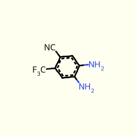 N#Cc1cc(N)c(N)cc1C(F)(F)F